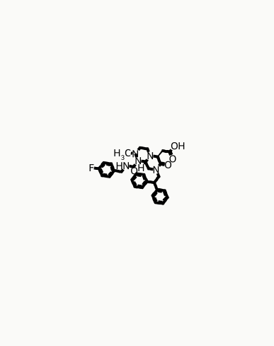 CN1CCN2[C@@H](CC(=O)O)C(=O)N(CC(c3ccccc3)c3ccccc3)C[C@@H]2N1C(=O)NCc1ccc(F)cc1